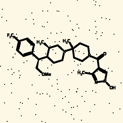 COC[C@@H](c1ccc(C(F)(F)F)cc1)C1CCN(C2(C)CCN(C(=O)c3cn(O)nc3C)CC2)C[C@@H]1C